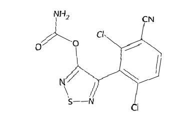 N#Cc1ccc(Cl)c(-c2nsnc2OC(N)=O)c1Cl